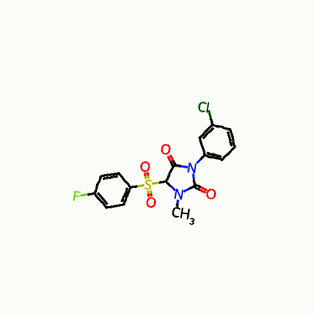 CN1C(=O)N(c2cccc(Cl)c2)C(=O)C1S(=O)(=O)c1ccc(F)cc1